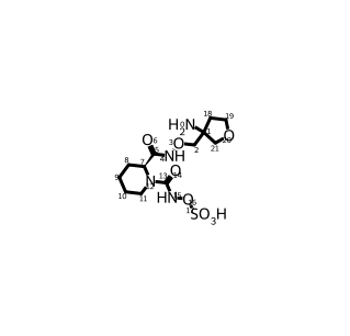 NC1(CONC(=O)[C@@H]2CCCCN2C(=O)NOS(=O)(=O)O)CCOC1